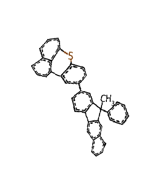 CC1(c2ccccc2)c2cc(-c3ccc4c(c3)-c3cccc5cccc(c35)S4)ccc2-c2cc3ccccc3cc21